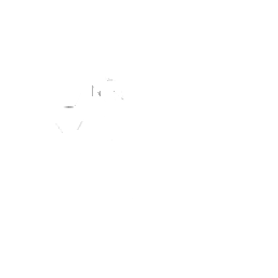 CCCCCCCCC1N(CCCCCCCC)C=CN1Cc1ccccc1